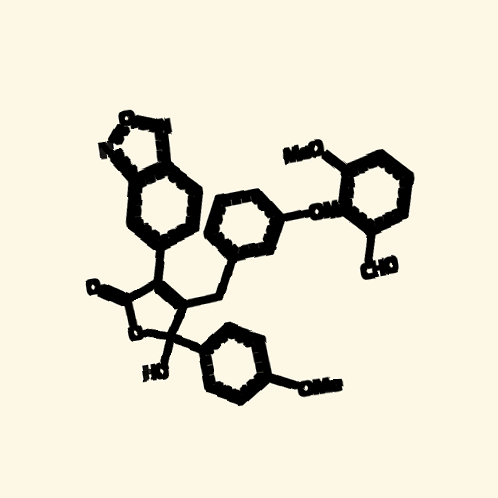 COc1ccc(C2(O)OC(=O)C(c3ccc4nonc4c3)=C2Cc2cccc(OC)c2)cc1.COc1cccc(C=O)c1